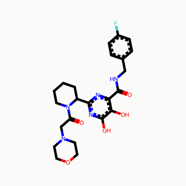 O=C(NCc1ccc(F)cc1)c1nc(C2CCCCN2C(=O)CN2CCOCC2)nc(O)c1O